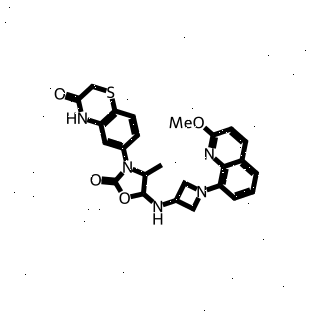 COc1ccc2cccc(N3CC(NC4OC(=O)N(c5ccc6c(c5)NC(=O)CS6)C4C)C3)c2n1